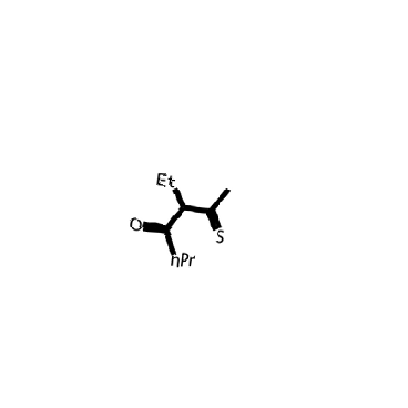 CCCC(=O)C(CC)C(C)=S